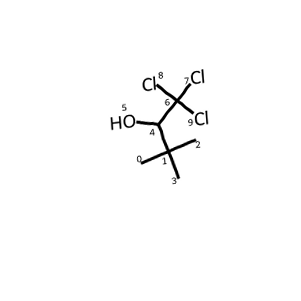 CC(C)(C)C(O)C(Cl)(Cl)Cl